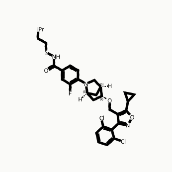 CC(C)CCSNC(=O)c1ccc(N2C[C@@H]3C[C@H]2C[C@H]3OCc2c(-c3c(Cl)cccc3Cl)noc2C2CC2)c(F)c1